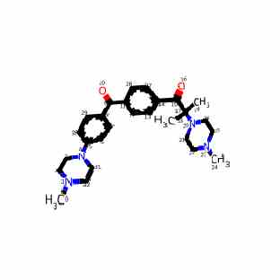 CN1CCN(c2ccc(C(=O)c3ccc(C(=O)C(C)(C)N4CCN(C)CC4)cc3)cc2)CC1